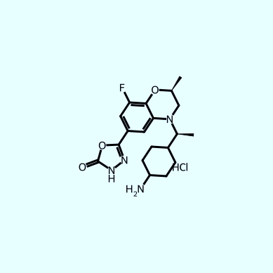 C[C@H]1CN([C@@H](C)C2CCC(N)CC2)c2cc(-c3n[nH]c(=O)o3)cc(F)c2O1.Cl